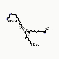 CCCCC/C=C\C/C=C\C/C=C\CCCCCCC(=O)OC[C@@H](COC(=O)CCCCCCCCCCCCCC)OC(=O)CCCCCCC/C=C\CCCCCCCC